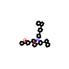 c1ccc(-c2ccc(-c3cccc4ccccc34)cc2N(c2ccc(-c3ccc(-c4cccc5ccccc45)cc3)cc2)c2ccc(-c3ccc4c(c3)oc3ccccc34)cc2)cc1